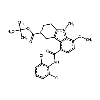 COc1ccc(C(=O)Nc2c(Cl)cncc2Cl)c2c3c(n(C)c12)CCN(C(=O)OC(C)(C)C)C3